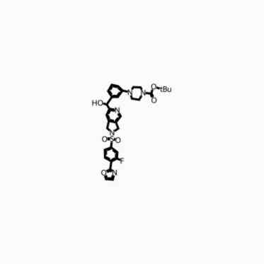 CC(C)(C)OC(=O)N1CCN(c2cccc(C(O)c3cc4c(cn3)CN(S(=O)(=O)c3ccc(-c5ncco5)c(F)c3)C4)c2)CC1